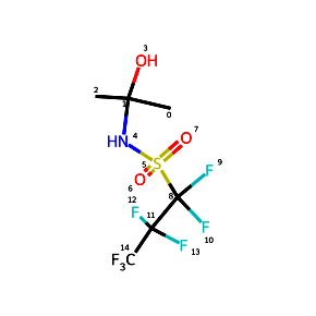 CC(C)(O)NS(=O)(=O)C(F)(F)C(F)(F)C(F)(F)F